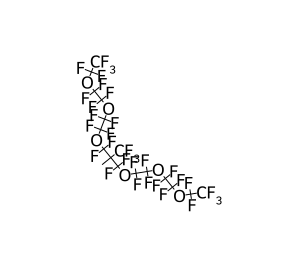 CC(C(F)(F)F)(C(F)(F)OC(F)(F)C(F)(F)OC(F)(F)C(F)(F)OC(F)(F)C(F)(F)F)C(F)(F)OC(F)(F)C(F)(F)OC(F)(F)C(F)(F)OC(F)(F)C(F)(F)F